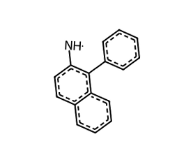 [NH]c1ccc2ccccc2c1-c1ccccc1